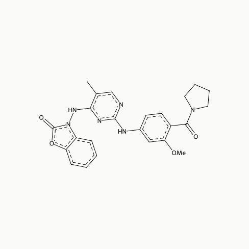 COc1cc(Nc2ncc(C)c(Nn3c(=O)oc4ccccc43)n2)ccc1C(=O)N1CCCC1